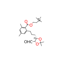 Cc1cc(C)c(C(=O)OCC[Si](C)(C)C)c(CCC[C@@H]2OC(C)(C)OC2C=O)c1